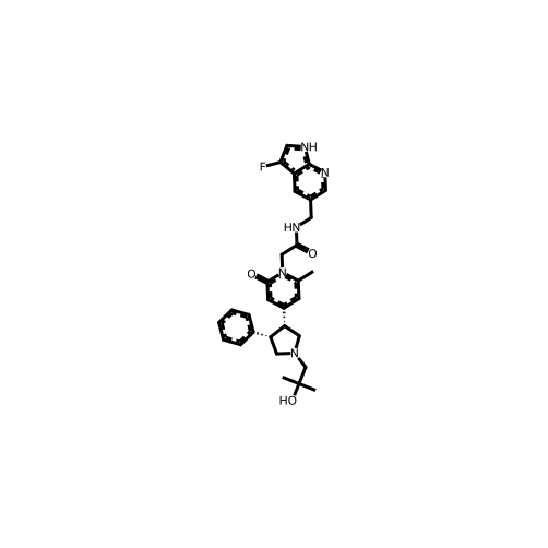 Cc1cc([C@@H]2CN(CC(C)(C)O)C[C@@H]2c2ccccc2)cc(=O)n1CC(=O)NCc1cnc2[nH]cc(F)c2c1